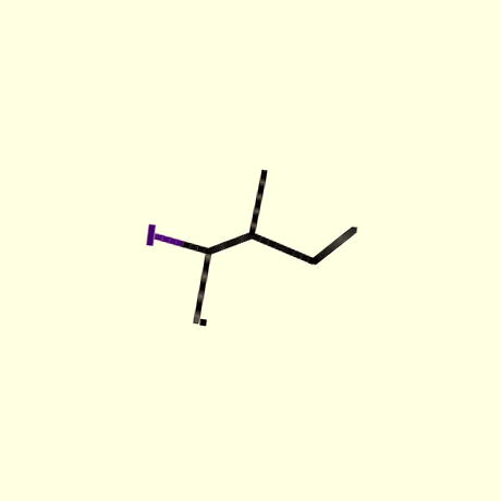 [CH2]C(I)C(C)CC